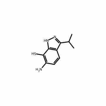 CC(C)c1n[nH]c2c(S)c(N)ccc12